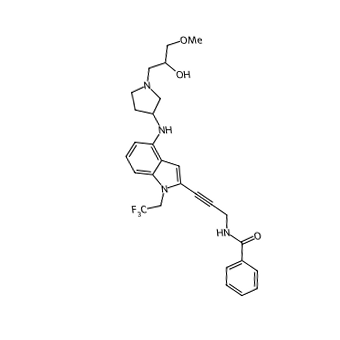 COCC(O)CN1CCC(Nc2cccc3c2cc(C#CCNC(=O)c2ccccc2)n3CC(F)(F)F)C1